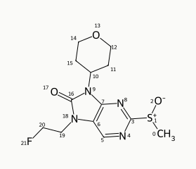 C[S+]([O-])c1ncc2c(n1)n(C1CCOCC1)c(=O)n2CCF